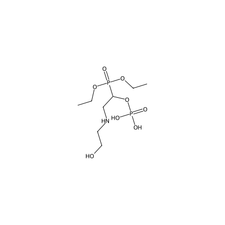 CCOP(=O)(OCC)C(CNCCO)OP(=O)(O)O